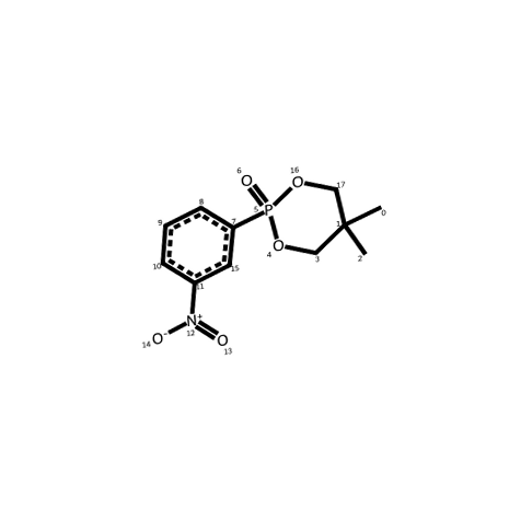 CC1(C)COP(=O)(c2cccc([N+](=O)[O-])c2)OC1